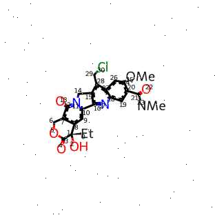 CC[C@@]1(O)C(=O)OCc2c1cc1n(c2=O)Cc2c-1nc1cc(C(=O)NC)c(OC)cc1c2CCl